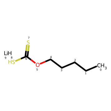 CCCCCOC(=S)S.[LiH]